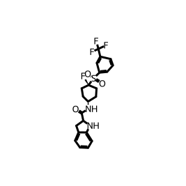 O=C(N[C@H]1CC[C@@](F)(S(=O)(=O)c2cccc(C(F)(F)F)c2)CC1)C1Cc2ccccc2N1